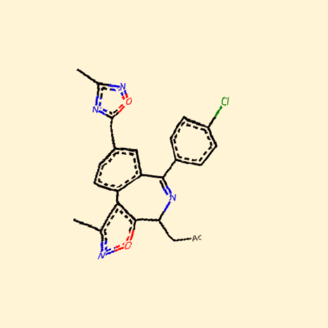 CC(=O)CC1N=C(c2ccc(Cl)cc2)c2cc(-c3nc(C)no3)ccc2-c2c(C)noc21